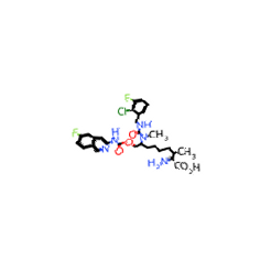 CC(CCCCC(COC(=O)Nc1cc2cc(F)ccc2cn1)N(C)C(=O)NCc1cccc(F)c1Cl)[C@H](N)C(=O)O